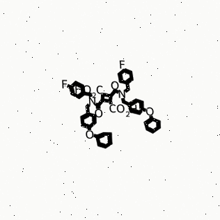 O=C(O)C1C(C(=O)N(Cc2ccc(F)cc2)Cc2ccc(Oc3ccccc3)cc2)C(C(=O)O)C1C(=O)N(Cc1ccc(F)cc1)Cc1ccc(Oc2ccccc2)cc1